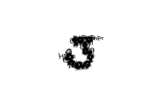 CCCOc1cccc(Oc2cc3c(cc2NS(=O)(=O)c2cccc(C(=O)N4CCC(CC5CCN(CC6CCN(c7cc(C8CCC(=O)NC8=O)ccn7)CC6)CC5)CC4)c2)n(C)c(=O)n3C)c1